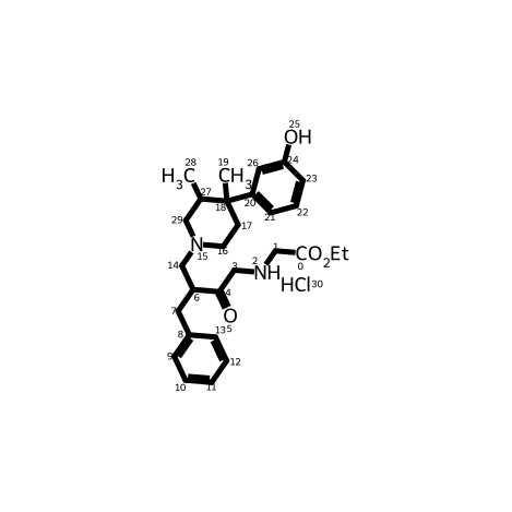 CCOC(=O)CNCC(=O)C(Cc1ccccc1)CN1CCC(C)(c2cccc(O)c2)C(C)C1.Cl